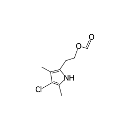 Cc1[nH]c(CCOC=O)c(C)c1Cl